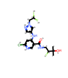 CC(C)(O)C(F)CNC(=O)c1cnc(Cl)cc1Nc1cnn(CC(F)F)c1